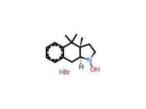 Br.CC1(C)c2ccccc2C[C@@H]2N(O)CC[C@]21C